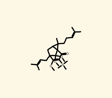 COC1=C([Si](C)(C)C)C(=O)C23C(CC1(CC=C(C)C)C2(OC)OC)C3(C)CCC=C(C)C